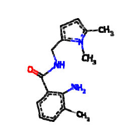 Cc1cccc(C(=O)NCc2ccc(C)n2C)c1N